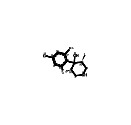 C[C@@H]1CNC[C@H](C)C1(O)c1c(F)cc(Cl)cc1F